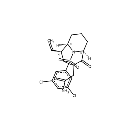 C=C[C@@H]1CN(CC(N)=O)C(=O)[C@@H]2CCC[C@H]1N2S(=O)(=O)c1cc(Cl)cc(Cl)c1